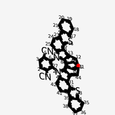 N#Cc1ccc(C#N)c(-n2c3ccccc3c3c4sc5ccccc5c4ccc32)c1-n1c2c(c3c4sc5ccccc5c4ccc31)=CCCC=2